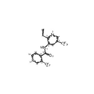 C=Cc1ncc(C(F)(F)F)cc1NC(=O)c1ccncc1C(F)(F)F